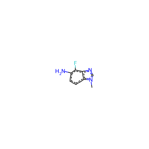 Cn1cnc2c(F)c(N)ccc21